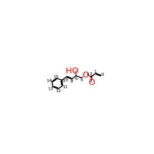 C=CC(=O)OCC(O)C=Cc1ccccc1